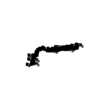 COc1ccc(C(C)(C)c2ccc(OC(=O)c3ccc(Oc4ccc(C(=O)CCCCOc5ccc(C(C)(C)c6ccc(OC(=O)c7ccc(C(=O)Oc8ccc(C(C)(C)c9ccc(OC(=O)c%10cccc(C(C)=O)c%10)c(C)c9)c(C)c8C)cc7)c(C)c6)cc5C)cc4)cc3)c(C)c2)cc1C